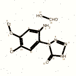 CCOc1cc(N)c(-n2nn[nH]c2=O)cc1Cl.O=CO